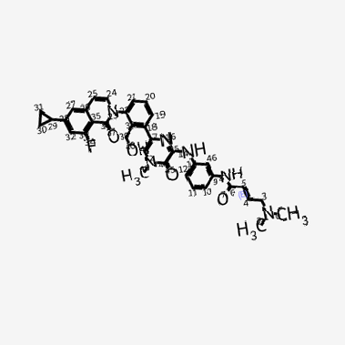 CN(C)C/C=C/C(=O)Nc1cccc(Nc2nc(-c3cccc(-n4ccc5cc(C6CC6)cc(F)c5c4=O)c3CO)cn(C)c2=O)c1